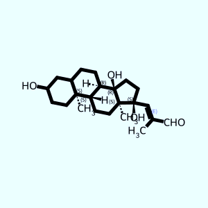 C/C(C=O)=C\[C@@]1(O)CC[C@@]2(O)[C@@H]3CCC4CC(O)CC[C@]4(C)[C@H]3CC[C@]12C